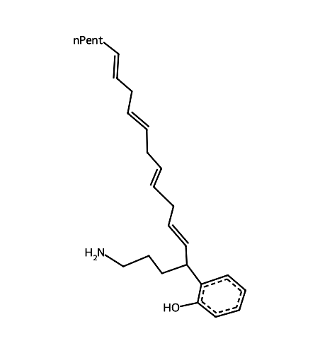 CCCCCC=CCC=CCC=CCC=CC(CCCN)c1ccccc1O